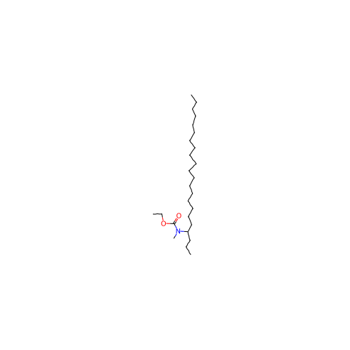 CCCCCCCCCCCCCCCCCCC(CCC)N(C)C(=O)OCC